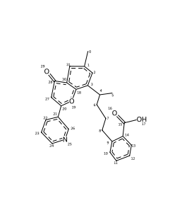 Cc1cc(C(C)CCCc2ccccc2C(=O)O)c2oc(-c3cccnc3)cc(=O)c2c1